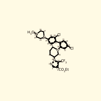 CCOC(=O)c1cnn(C2CCCN(c3cc(Cl)ccc3-c3ccc(N4CCN(C)CC4)cc3Cl)C2)c1C(F)(F)F